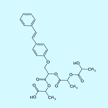 CC(O)C(=O)OC(C)C(=O)OC(COc1ccc(/C=C/c2ccccc2)cc1)C(=O)OC(C)C(=O)O